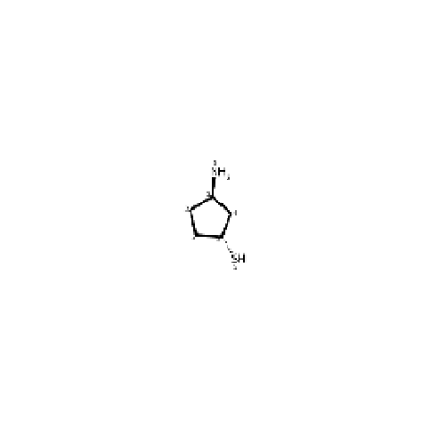 N[C@@H]1CC[C@@H](S)C1